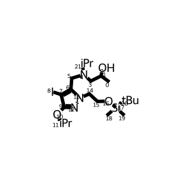 CC(O)CN(Cc1c(I)c(OC(C)C)nn1CCO[Si](C)(C)C(C)(C)C)C(C)C